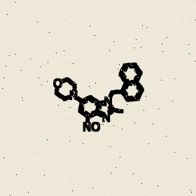 Cc1nc2c(N=O)cc(N3CCOCC3)cc2n1Cc1cccc2ccccc12